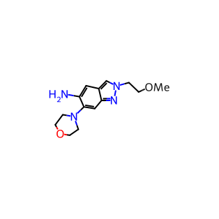 COCCn1cc2cc(N)c(N3CCOCC3)cc2n1